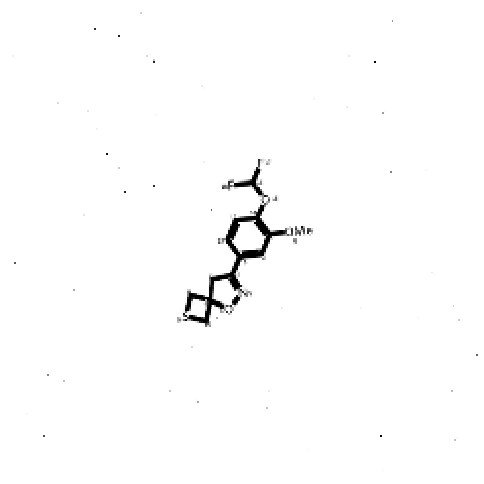 COc1cc(C2=NOC3(CSC3)C2)ccc1OC(F)F